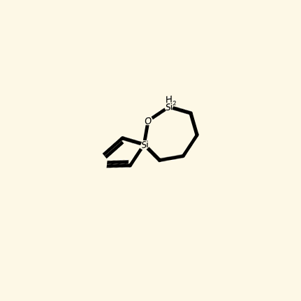 C=C[Si]1(C=C)CCCC[SiH2]O1